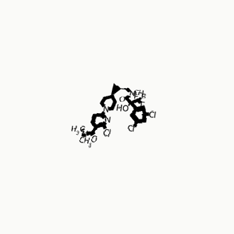 CN(C)C(=O)c1ccc(N2CCC([C@H]3C[C@H]3CN(C)C(=O)[C@](O)(c3cc(Cl)cc(Cl)c3)C(F)(F)F)CC2)nc1Cl